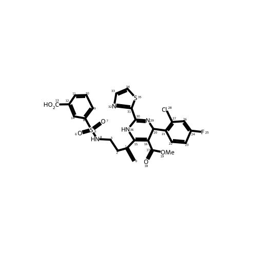 C=C(CCNS(=O)(=O)c1cccc(C(=O)O)c1)C1=C(C(=O)OC)C(c2ccc(F)cc2Cl)N=C(c2nccs2)N1